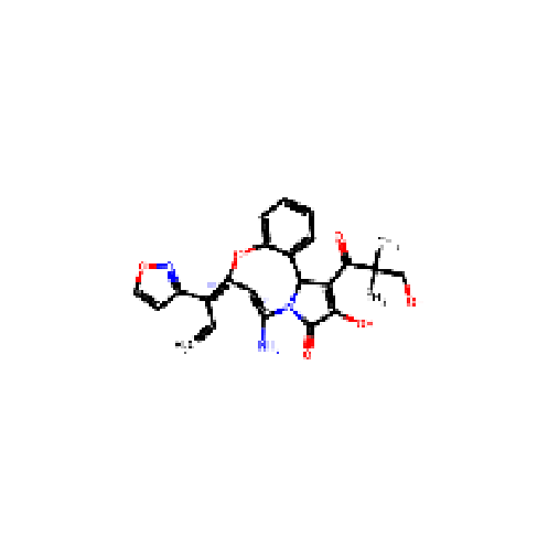 C=C/C(=C1\C=C(/N)N2C(=O)C(O)=C(C(=O)C(C)(C)CO)C2c2ccccc2O1)c1ccon1